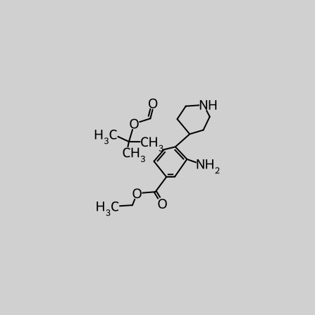 CC(C)(C)OC=O.CCOC(=O)c1ccc(C2CCNCC2)c(N)c1